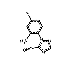 Cc1cc(F)ccc1-n1ncnc1C=O